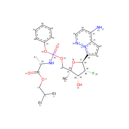 CCC(CC)COC(=O)[C@H](C)NP(=O)(OC[C@@]1(C#N)O[C@@H](c2ccc3c(N)ccnn23)[C@H](F)[C@@H]1O)Oc1ccccc1